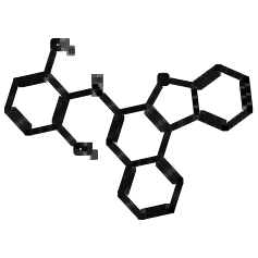 Cc1cccc(C)c1Nc1cc2ccccc2c2c1oc1ccccc12